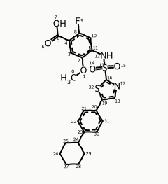 COc1cc(C(=O)O)c(F)cc1NS(=O)(=O)c1ncc(-c2ccc(C3CCCCC3)cc2)s1